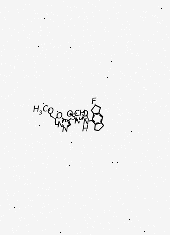 COC[C@@H]1Cn2ncc([S@](C)(=O)=NC(=O)Nc3c4c(cc5c3C[C@H](F)C5)CCC4)c2O1